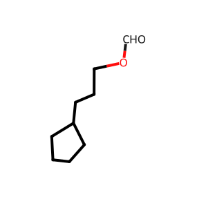 O=COCCCC1CCCC1